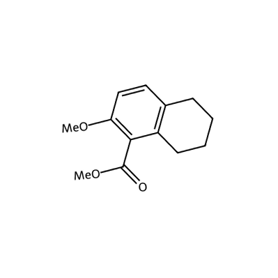 COC(=O)c1c(OC)ccc2c1CCCC2